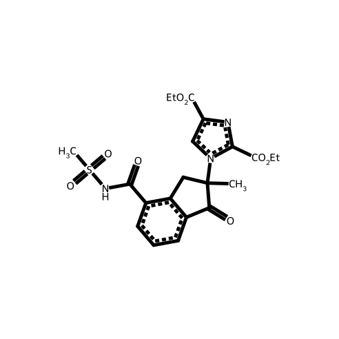 CCOC(=O)c1cn(C2(C)Cc3c(C(=O)NS(C)(=O)=O)cccc3C2=O)c(C(=O)OCC)n1